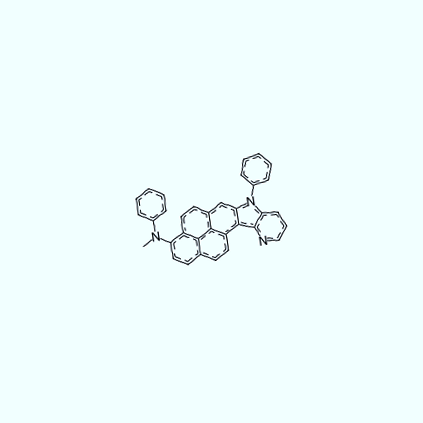 CN(c1ccccc1)c1ccc2ccc3c4c(ccc1c24)cc1c3c2ncccc2n1-c1ccccc1